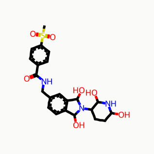 CS(=O)(=O)c1ccc(C(=O)NCc2ccc3c(c2)C(O)N(C2CCC(O)NC2O)C3O)cc1